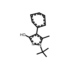 Cc1c(-c2ccccc2)c(O)nn1C(C)(C)C